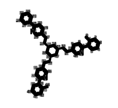 Cc1ccccc1-c1ccc(CC[C@@H]2C[C@H](CCc3ccc(-c4ccccc4)nc3)C[C@H](CCc3ccc(-c4ccccc4C)nc3)C2)cn1